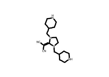 N#CC(C#N)=C1N(CC2CCNCC2)CCN1CC1CCNCC1